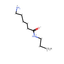 NCCCCCC(=O)NCCC(=O)O